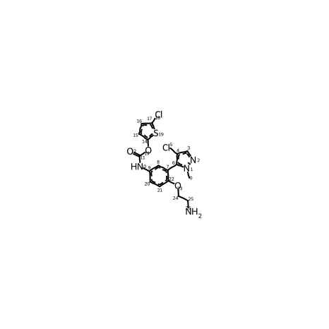 Cn1ncc(Cl)c1-c1cc(NC(=O)Oc2ccc(Cl)s2)ccc1OCCN